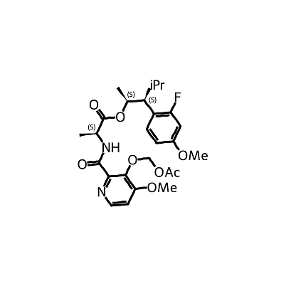 COc1ccc([C@H](C(C)C)[C@H](C)OC(=O)[C@H](C)NC(=O)c2nccc(OC)c2OCOC(C)=O)c(F)c1